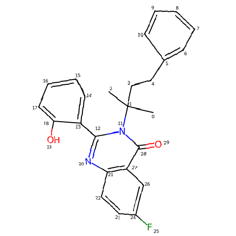 CC(C)(CCc1ccccc1)n1c(-c2ccccc2O)nc2ccc(F)cc2c1=O